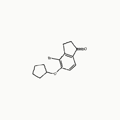 O=C1CCc2c1ccc(OC1CCCC1)c2Br